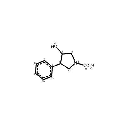 O=C(O)N1CC(O)C(c2ccccc2)C1